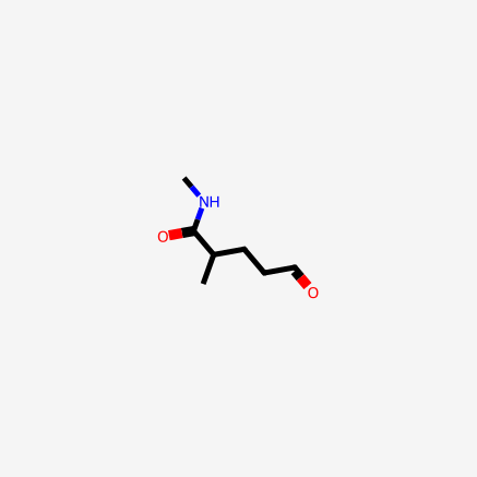 CNC(=O)C(C)CCC=O